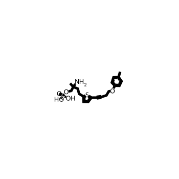 Cc1ccc(OCCC#Cc2ccc(CCC(C)(N)COP(=O)(O)O)s2)cc1